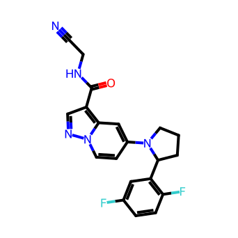 N#CCNC(=O)c1cnn2ccc(N3CCCC3c3cc(F)ccc3F)cc12